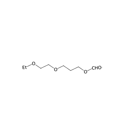 CCOCCOCCCO[C]=O